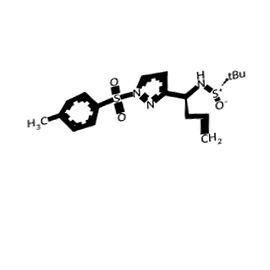 C=CC[C@H](N[S@@+]([O-])C(C)(C)C)c1ccn(S(=O)(=O)c2ccc(C)cc2)n1